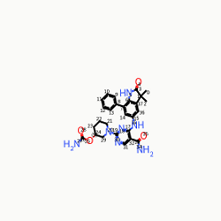 CC1(C)C(=O)Nc2c(-c3ccccc3)cc(Nc3nc(N4CCC[C@H](OC(N)=O)C4)ncc3C(N)=O)cc21